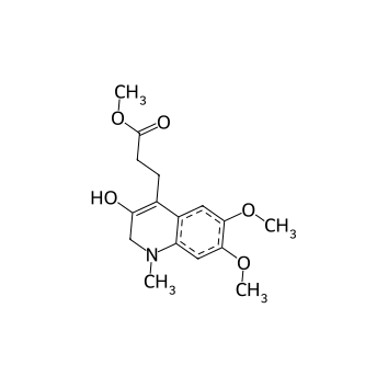 COC(=O)CCC1=C(O)CN(C)c2cc(OC)c(OC)cc21